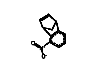 O=[N+]([O-])c1cccc2c1C1C=CC2C1